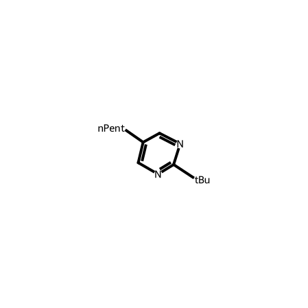 CCCCCc1cnc(C(C)(C)C)nc1